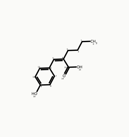 CCCCC(=Cc1ccc(O)cc1)C(=O)O